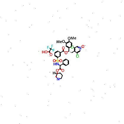 COc1ccc([C@H](Cc2c(Cl)c[n+]([O-])cc2Cl)OC(=O)c2cccc(S(=O)(=O)NC(C(=O)O[C@H]3CN4CCC3CC4)c3ccccc3)c2)cc1OC.O=C(O)C(F)(F)F